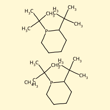 C.CC(C)(C)C1CCCCP1C(C)(C)C.CC(C)(C)C1CCCCP1C(C)(C)C